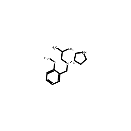 CSc1ccccc1CN(CC(C)C)[C@H]1CCNC1